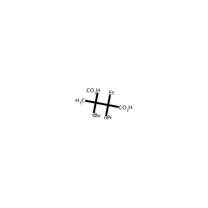 CCCC(CC)(C(=O)O)C(C)(C(=O)O)C(C)(C)C